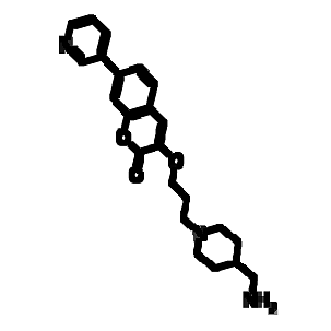 NCC1CCN(CCCOc2cc3ccc(-c4cccnc4)cc3oc2=O)CC1